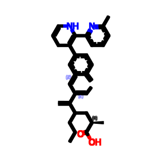 C=C(C(/C=c1/cc(C2=C(c3cccc(C)n3)NC=CC2)ccc1=C)=C/C)C(CCC)C[C@@H](C)C(=O)O